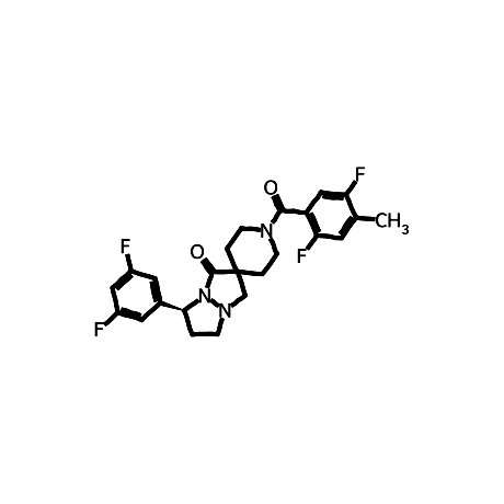 Cc1cc(F)c(C(=O)N2CCC3(CC2)CN2CC[C@@H](c4cc(F)cc(F)c4)N2C3=O)cc1F